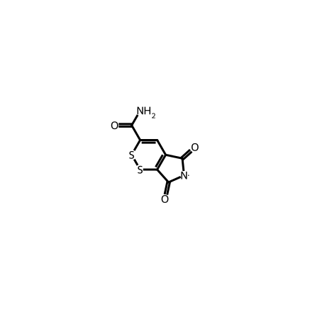 NC(=O)C1=CC2=C(SS1)C(=O)[N]C2=O